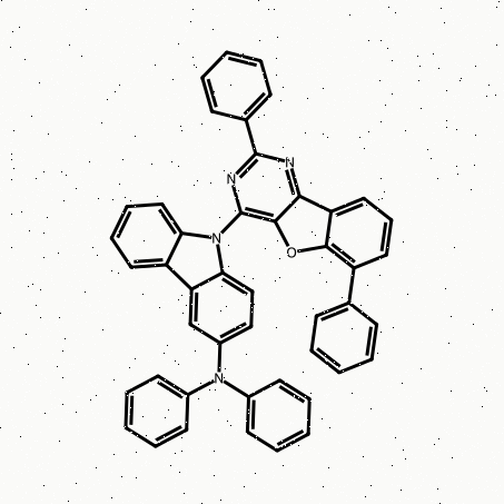 c1ccc(-c2nc(-n3c4ccccc4c4cc(N(c5ccccc5)c5ccccc5)ccc43)c3oc4c(-c5ccccc5)cccc4c3n2)cc1